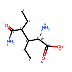 CCC(C(N)=O)C(CC)[C@H](N)C(=O)O